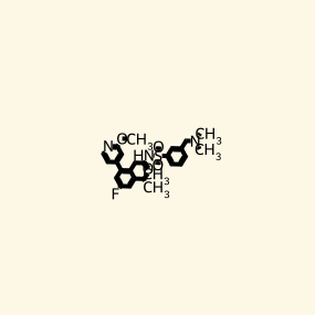 COc1cc(-c2cc(F)cc(C(C)C)c2CC(=O)NS(=O)(=O)c2cccc(CN(C)C)c2)ccn1